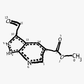 COC(=O)c1cnc2[nH]nc(C=O)c2c1